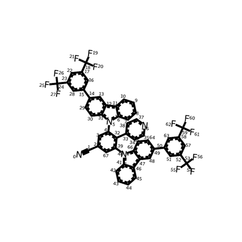 N#Cc1cc(-n2c3ccccc3c3cc(-c4cc(C(F)(F)F)cc(C(F)(F)F)c4)ccc32)c(-c2ccncc2)c(-n2c3ccccc3c3cc(-c4cc(C(F)(F)F)cc(C(F)(F)F)c4)ccc32)c1